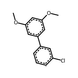 COc1cc(OC)cc(-c2cc[c]c(Cl)c2)c1